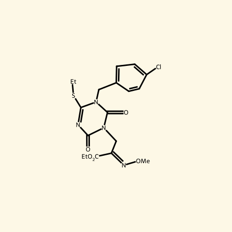 CCOC(=O)/C(Cn1c(=O)nc(SCC)n(Cc2ccc(Cl)cc2)c1=O)=N/OC